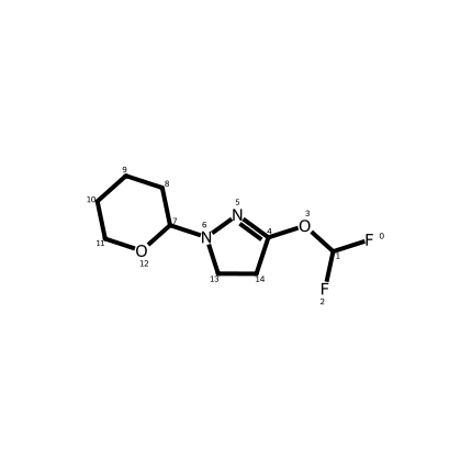 FC(F)OC1=NN(C2CCCCO2)CC1